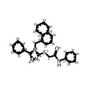 O=C(CSc1nnc(-c2ccccc2)n1Cc1cccc2ccccc12)Nc1ccccc1